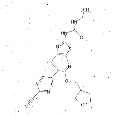 CCNC(=O)Nc1nc2cc(-c3cnc(C#N)nc3)c(OCC3CCOC3)nc2s1